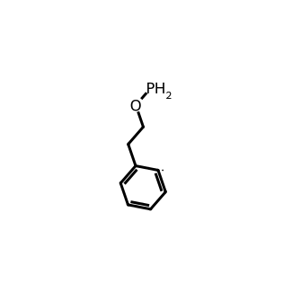 POCCc1[c]cccc1